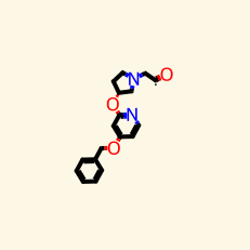 O=[C]CN1CC[C@H](Oc2cc(OCc3ccccc3)ccn2)C1